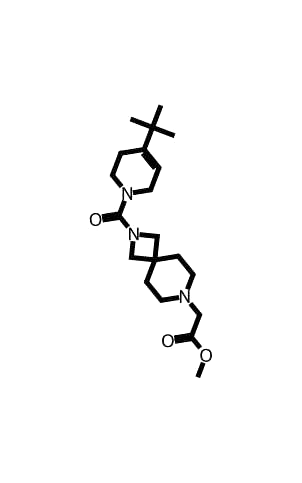 COC(=O)CN1CCC2(CC1)CN(C(=O)N1CC=C(C(C)(C)C)CC1)C2